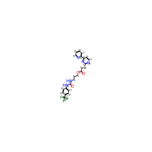 O=C(NCCCOC(=O)CSc1nccc(-c2ccccn2)n1)Nc1ccc(C(F)(F)F)cc1